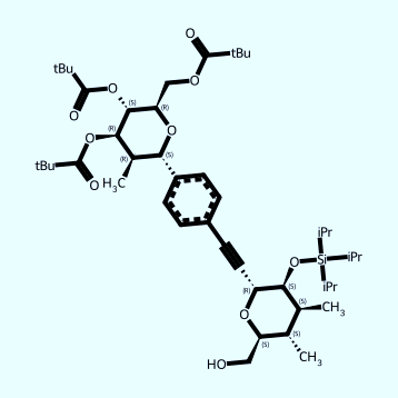 CC(C)[Si](O[C@H]1[C@@H](C)[C@H](C)[C@@H](CO)O[C@@H]1C#Cc1ccc([C@H]2O[C@H](COC(=O)C(C)(C)C)[C@@H](OC(=O)C(C)(C)C)[C@H](OC(=O)C(C)(C)C)[C@@H]2C)cc1)(C(C)C)C(C)C